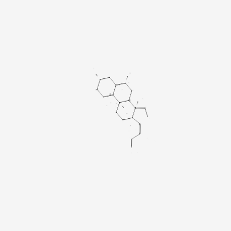 C[C@H](CC(=O)O)[C@H]1CC[C@H]2[C@@H]3C[C@H](O)[C@@H]4C[C@H](O)CC[C@]4(C)[C@H]3CC[C@]12C